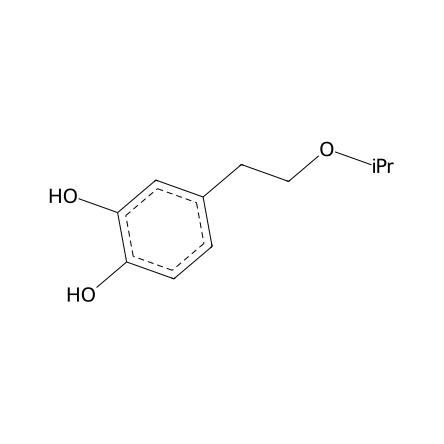 CC(C)OCCc1ccc(O)c(O)c1